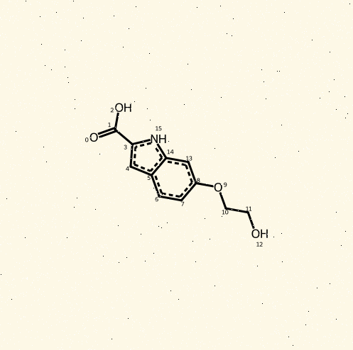 O=C(O)c1cc2ccc(OCCO)cc2[nH]1